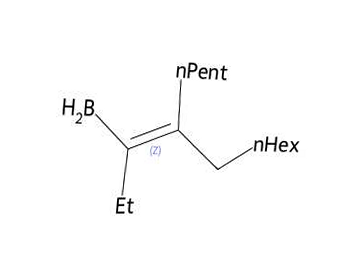 B/C(CC)=C(\CCCCC)CCCCCCC